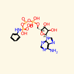 Nc1ncnc2c1ncn2[C@@H]1O[C@H](COP(=O)(O)OP(=O)(O)OP(=O)(O)Nc2ccccc2)[C@H](O)C1O